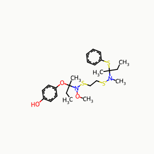 CCC(C)(Oc1ccc(O)cc1)N(OC)SCCSN(C)C(C)(CC)Sc1ccccc1